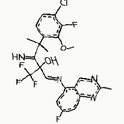 COc1c(C(C)(C)C(=N)C(O)(C=Nc2cc(F)cc3nc(C)ncc23)C(F)(F)F)ccc(Cl)c1F